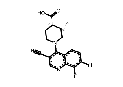 C[C@@H]1CN(c2c(C#N)cnc3c(F)c(Cl)ccc23)CC[C@@H]1C(=O)O